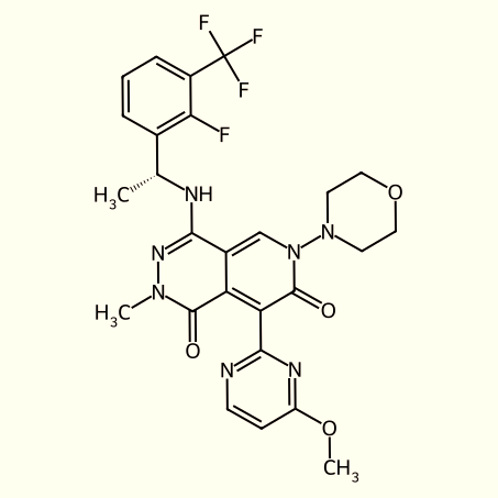 COc1ccnc(-c2c(=O)n(N3CCOCC3)cc3c(N[C@H](C)c4cccc(C(F)(F)F)c4F)nn(C)c(=O)c23)n1